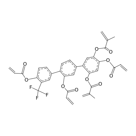 C=CC(=O)Oc1cc(OC(=O)C(=C)C)c(-c2ccc(-c3ccc(OC(=O)C=C)c(C(F)(F)F)c3)c(OC(=O)C=C)c2)cc1OC(=O)C(=C)C